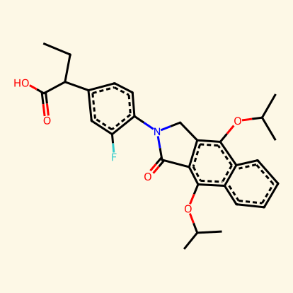 CCC(C(=O)O)c1ccc(N2Cc3c(c(OC(C)C)c4ccccc4c3OC(C)C)C2=O)c(F)c1